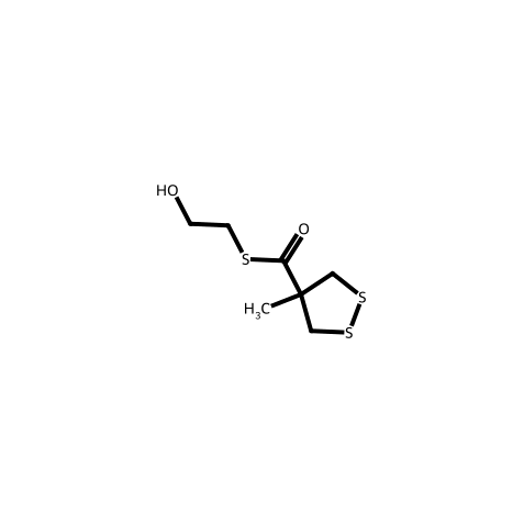 CC1(C(=O)SCCO)CSSC1